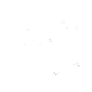 N#Cc1cc(C#N)cc(-c2ccc(N(c3ccc(-c4cccc5c4oc4ccccc45)cc3)c3ccc4oc5ccccc5c4c3)cc2)c1